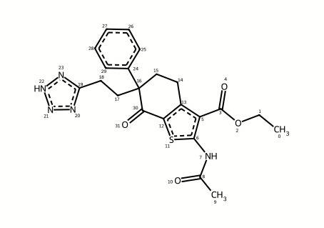 CCOC(=O)c1c(NC(C)=O)sc2c1CCC(CCc1nn[nH]n1)(c1ccccc1)C2=O